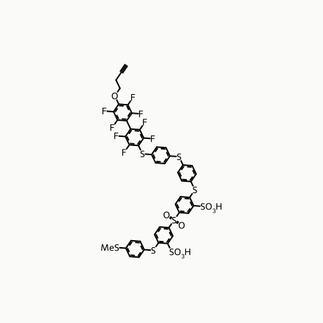 C#CCCOc1c(F)c(F)c(-c2c(F)c(F)c(Sc3ccc(Sc4ccc(Sc5ccc(S(=O)(=O)c6ccc(Sc7ccc(SC)cc7)c(S(=O)(=O)O)c6)cc5S(=O)(=O)O)cc4)cc3)c(F)c2F)c(F)c1F